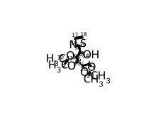 CC1(C)OCC([C@H]2OC(C)(C)O[C@@H]2[C@H](O)c2nccs2)O1